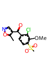 COc1c(S(C)(=O)=O)ccc(C(=O)c2cnoc2C)c1Cl